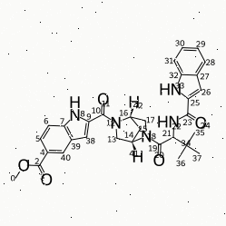 COC(=O)c1ccc2[nH]c(C(=O)N3C[C@@H]4C[C@H]3CN4C(=O)C(NC(=O)c3cc4ccccc4[nH]3)C(C)(C)C)cc2c1